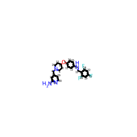 Nc1cc(CN2CCC(Oc3ccc(NCc4c(F)cc(F)cc4F)cc3)CC2)ccn1